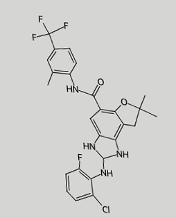 Cc1cc(C(F)(F)F)ccc1NC(=O)c1cc2c(c3c1OC(C)(C)C3)NC(Nc1c(F)cccc1Cl)N2